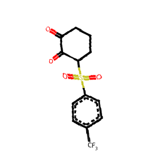 O=C1CCCC(S(=O)(=O)c2ccc(C(F)(F)F)cc2)C1=O